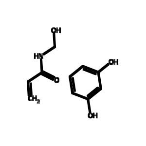 C=CC(=O)NCO.Oc1cccc(O)c1